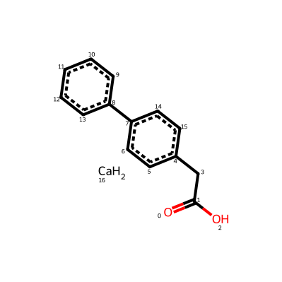 O=C(O)Cc1ccc(-c2ccccc2)cc1.[CaH2]